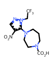 O=C(O)N1CCCN(c2c([N+](=O)[O-])cnn2CC(F)(F)F)CC1